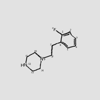 Fc1ccccc1CCN1CCNCC1